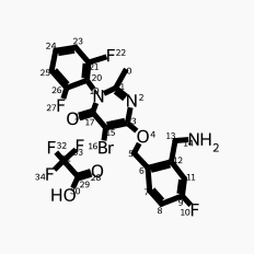 Cc1nc(OCc2ccc(F)cc2CN)c(Br)c(=O)n1-c1c(F)cccc1F.O=C(O)C(F)(F)F